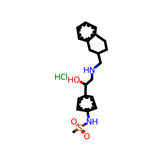 CS(=O)(=O)Nc1ccc(C(O)CNCC2CCc3ccccc3C2)cc1.Cl